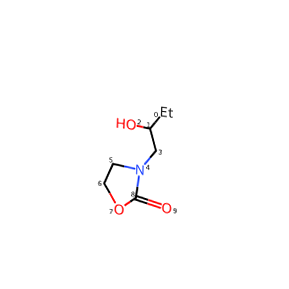 CCC(O)CN1CCOC1=O